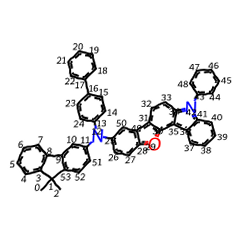 CC1(C)c2ccccc2-c2cc(N(c3ccc(-c4ccccc4)cc3)c3ccc4oc5c(ccc6c5c5ccccc5n6-c5ccccc5)c4c3)ccc21